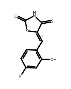 O=C1NC(=S)/C(=C/c2ccc(F)cc2O)S1